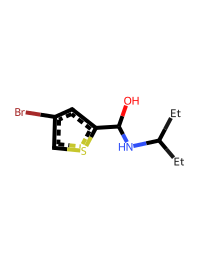 CCC(CC)NC(O)c1cc(Br)cs1